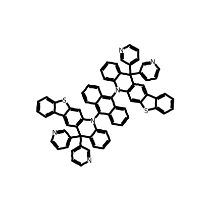 c1cncc(C2(c3cccnc3)c3ccccc3N(c3c4ccccc4c(N4c5ccccc5C(c5cccnc5)(c5cccnc5)c5cc6c(cc54)sc4ccccc46)c4ccccc34)c3cc4sc5ccccc5c4cc32)c1